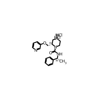 C[C@@H](NC(=O)N1CCNC[C@H]1COc1cccnc1)c1ccccc1.Cl.Cl